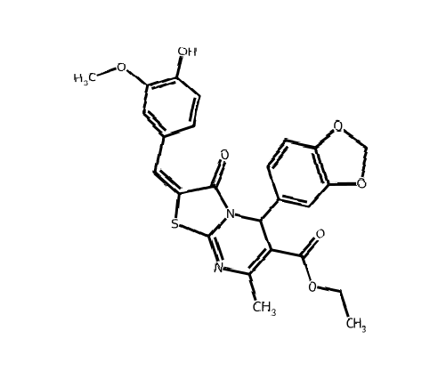 CCOC(=O)C1=C(C)N=c2s/c(=C/c3ccc(O)c(OC)c3)c(=O)n2C1c1ccc2c(c1)OCO2